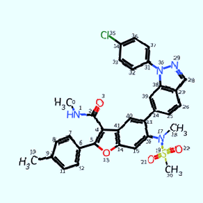 CNC(=O)c1c(-c2ccc(C)cc2)oc2cc(N(C)S(C)(=O)=O)c(-c3ccc4cnn(-c5ccc(Cl)cc5)c4c3)cc12